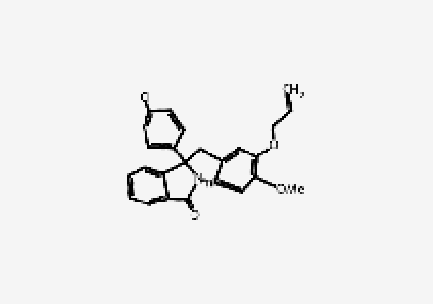 C=CCOc1cc(CC2(c3ccc(Cl)cc3)c3ccccc3C(=O)N2CCC)ccc1OC